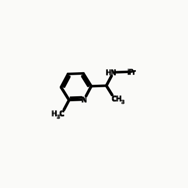 Cc1cccc(C(C)NC(C)C)n1